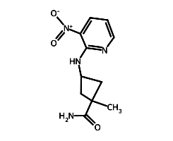 CC1(C(N)=O)CC(Nc2ncccc2[N+](=O)[O-])C1